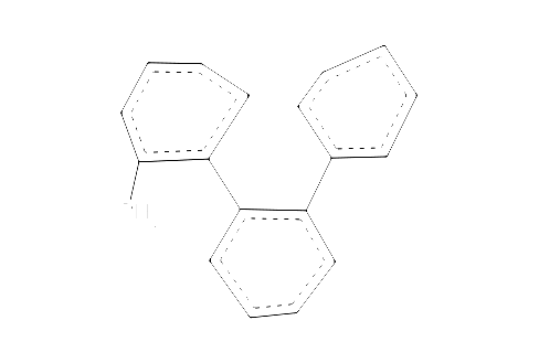 Pc1ccccc1-c1ccccc1-c1ccccc1